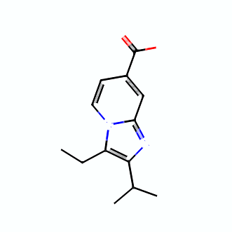 CCc1c(C(C)C)nc2cc(C(=O)O)ccn12